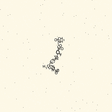 CC(=O)NCC1CN(c2ccc(-c3cnc(N4CCN(CC5(C)Cn6cc([N+](=O)[O-])nc6O5)CC4)s3)c(F)c2)C(=O)O1